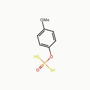 COc1ccc(OP(=O)(S)S)cc1